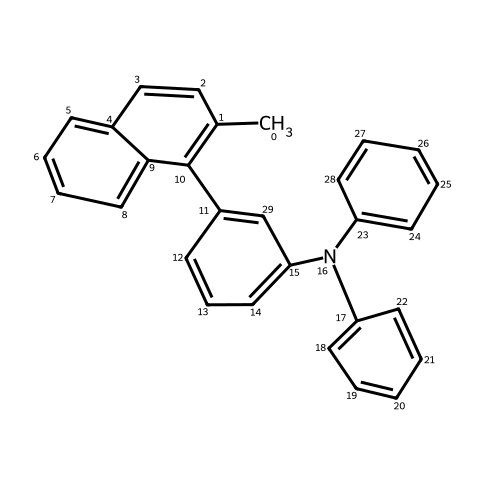 Cc1ccc2ccccc2c1-c1cccc(N(c2ccccc2)c2ccccc2)c1